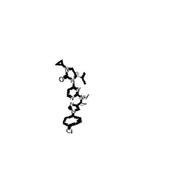 CC(C)[C@H]1CN(C2CC2)C(=O)N1c1ccnc(N[C@@H](C)c2cn(-c3ccc(Cl)cc3)cn2)n1